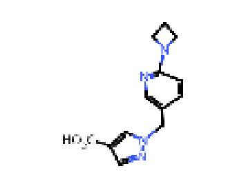 O=C(O)c1cnn(Cc2ccc(N3CCC3)nc2)c1